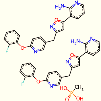 CP(=O)(O)O.Nc1ncccc1-c1cc(Cc2ccc(Oc3ccccc3F)nc2)no1.Nc1ncccc1-c1cc(Cc2ccc(Oc3ccccc3F)nc2)no1